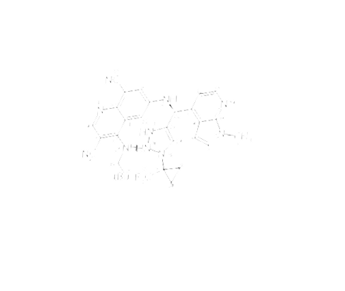 Cn1ccc2c([C@H](Nc3cc(C#N)c4ncc(C#N)c(NCC(C)(C)C)c4c3)C3=CN(C4(C(F)(F)F)CC4)NN3)ccnc21